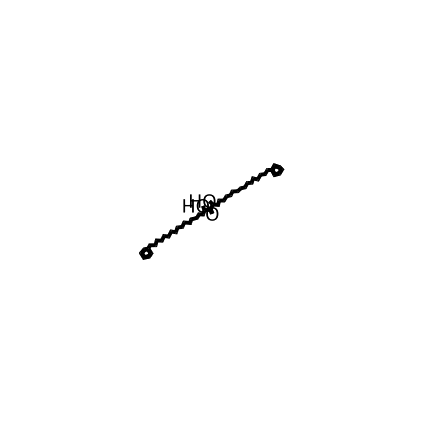 O=C(C(O)CCCCCCCCCCCCCCCCc1ccccc1)C(O)CCCCCCCCCCCCCCCCc1ccccc1